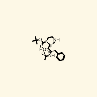 CC(=O)N[C@H](Cc1ccccc1)[C@H](O)[C@H]1CNCCN1C(=O)OC(C)(C)C